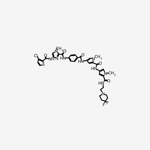 Cn1cc(NC(=O)c2cc(NC(=O)c3ccc(NC(=O)c4nc(NC(=O)c5sccc5Cl)cn4C)cc3)cn2C)cc1C(=O)NCCN1CCC(F)(F)CC1